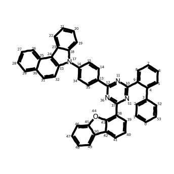 c1ccc(-c2ccccc2-c2nc(-c3ccc(-n4c5ccccc5c5c6ccccc6ccc54)cc3)nc(-c3cccc4c3oc3ccccc34)n2)cc1